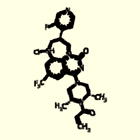 C=CC(=O)N1[C@H](C)CN(c2nc(=O)n3c4c(cc(C(F)(F)F)cc24)[SH](Cl)C[C@@H](c2ccncc2F)C3)C[C@@H]1C